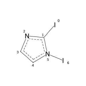 Ic1nccn1I